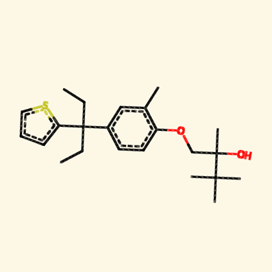 CCC(CC)(c1ccc(OCC(C)(O)C(C)(C)C)c(C)c1)c1cccs1